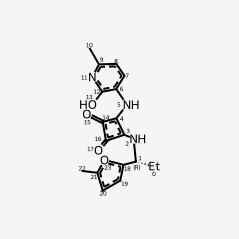 CC[C@@H](Nc1c(Nc2ccc(C)nc2O)c(=O)c1=O)c1ccc(C)o1